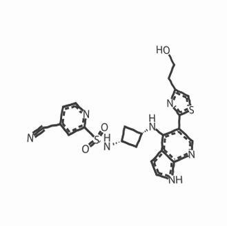 N#Cc1ccnc(S(=O)(=O)N[C@H]2C[C@@H](Nc3c(-c4nc(CCO)cs4)cnc4[nH]ccc34)C2)c1